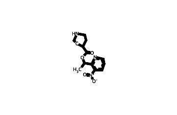 CC(OC(=O)C1CCNCC1)c1ncccc1[N+](=O)[O-]